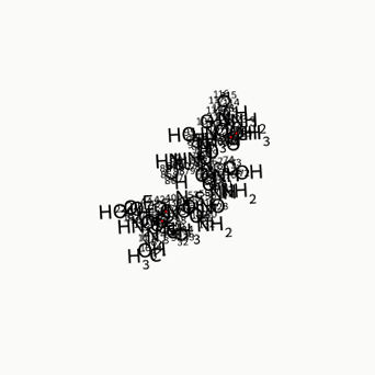 CCCC[C@@H](C(=O)N1C[C@H](O)C[C@@H]1C(=O)N[C@H](C=O)CC(=O)O)N(C)C(=O)[C@H](Cc1ccccc1)N(C)C(=O)[C@H](Cc1cc(F)c(F)c(F)c1)NC(=O)CSC[C@H](NC(=O)[C@H](CN)NC(=O)[C@H](Cc1ccc(O)cc1)NC(=O)[C@H](Cc1c[nH]c2ccccc12)NC(=O)[C@H]1C[C@@H](O)CN1C(=O)[C@H](CCC(=O)O)NCC(=O)C(Cc1ccccc1)N(C)C(=O)[C@@H](N)C(C)C)C(=O)NCC(N)=O